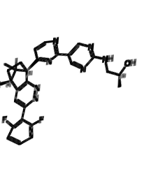 C[C@H](O)CNc1ncc(-c2nccc([C@@]34CC[C@@H](c5cc(-c6c(F)cccc6F)nnc53)C4(C)C)n2)cn1